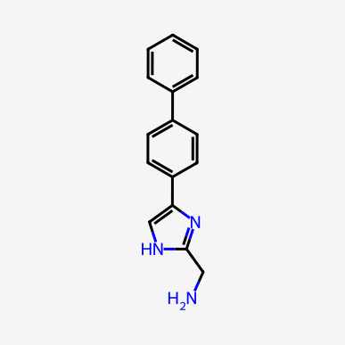 NCc1nc(-c2ccc(-c3ccccc3)cc2)c[nH]1